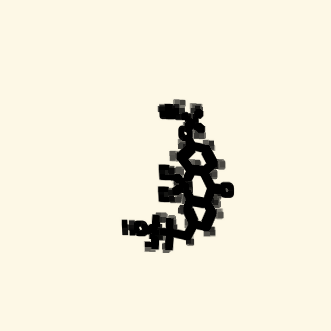 CC[Si]1(CC)c2cc(CC(C)(C)[Si](C)(C)O)ccc2C(=O)c2ccc(O[Si](C)(C)C(C)(C)C)cc21